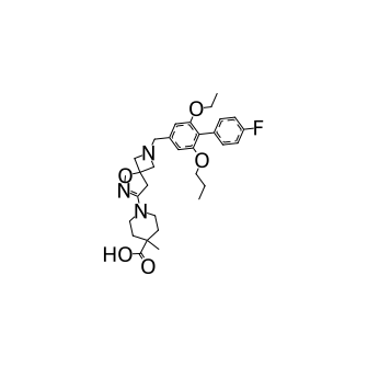 CCCOc1cc(CN2CC3(CC(N4CCC(C)(C(=O)O)CC4)=NO3)C2)cc(OCC)c1-c1ccc(F)cc1